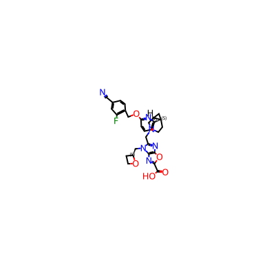 N#Cc1ccc(COc2cccc([C@@]34CCN(Cc5nc6oc(C(=O)O)nc6n5C[C@@H]5CCO5)C[C@@H]3C4)n2)c(F)c1